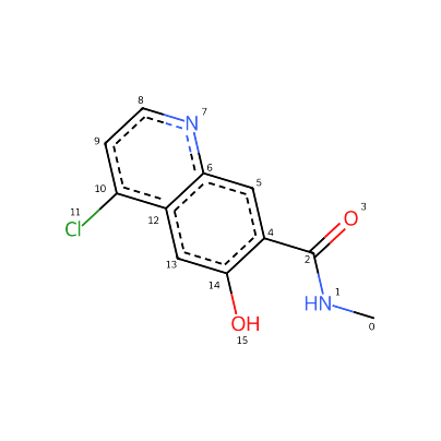 CNC(=O)c1cc2nccc(Cl)c2cc1O